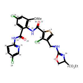 CCOC(=O)C1COC(NCc2csc(C(=O)Nc3c(OC)cc(Cl)cc3C(=O)Nc3ccc(Cl)cn3)c2Cl)=N1